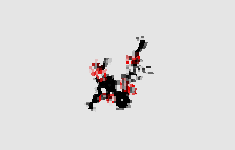 C=COC(C)=O.CCCCCCCCOC(C)=O.CCCOC(=O)c1ccccc1.CCCOC(C)=O.O=C1OCc2ccccc21